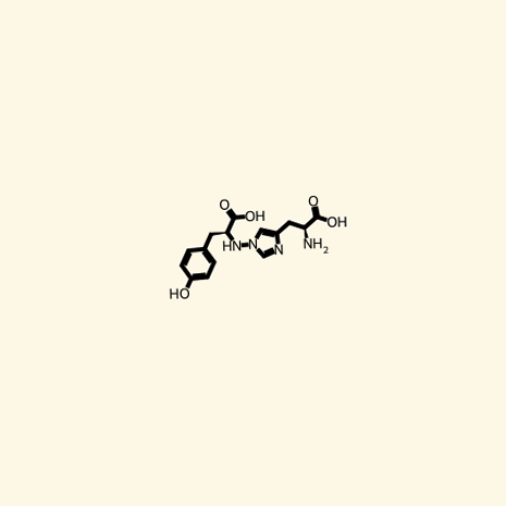 N[C@@H](Cc1cn(N[C@@H](Cc2ccc(O)cc2)C(=O)O)cn1)C(=O)O